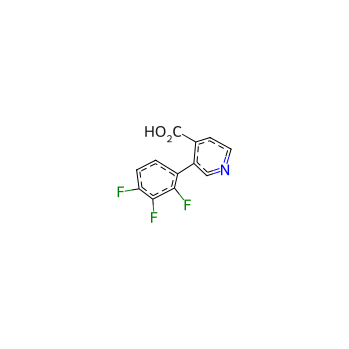 O=C(O)c1ccncc1-c1ccc(F)c(F)c1F